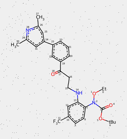 CCON(C(=O)OC(C)(C)C)c1ccc(C(F)(F)F)cc1NCCC(=O)c1cccc(-c2cc(C)nc(C)c2)c1